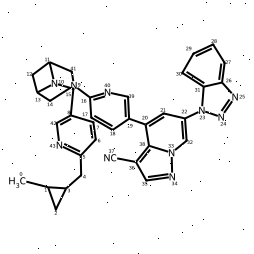 CC1CC1Cc1ccc(CN2C3CC2CN(c2ccc(-c4cc(-n5nnc6ccccc65)cn5ncc(C#N)c45)cn2)C3)cn1